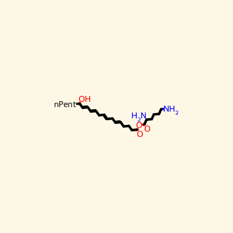 CCCCCC(O)C=CC=CCC=CCC=CCCCC(=O)OC(=O)[C@@H](N)CCCCN